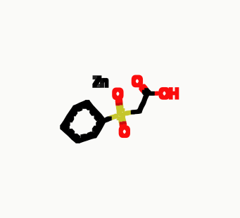 O=C(O)CS(=O)(=O)c1ccccc1.[Zn]